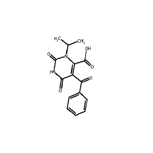 CC(C)n1c(C(=O)O)c(C(=O)c2ccccc2)c(=O)[nH]c1=O